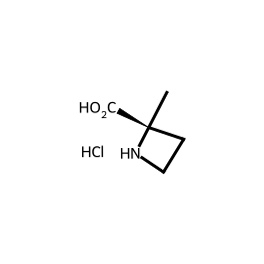 C[C@]1(C(=O)O)CCN1.Cl